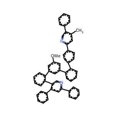 COc1cc(-c2ccccc2-c2ccc(-c3cc(C)c(-c4ccccc4)cn3)cc2)cc(-c2ccccc2-c2cnc(-c3ccccc3)cc2-c2ccccc2)c1